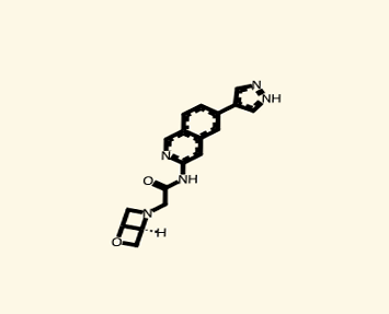 O=C(CN1CC2OC[C@@H]21)Nc1cc2cc(-c3cn[nH]c3)ccc2cn1